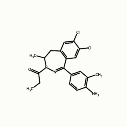 CCC(=O)N1N=C(c2ccc(N)c(C)c2)c2cc(Cl)c(Cl)cc2CC1C